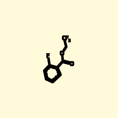 O=C(OCC(F)(F)F)c1ccccc1F